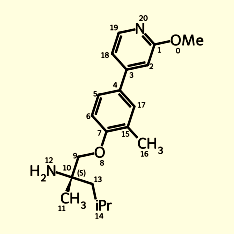 COc1cc(-c2ccc(OC[C@@](C)(N)CC(C)C)c(C)c2)ccn1